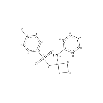 Cc1ccc(S(=O)(=O)CC2(Nc3ncccn3)CCC2)cc1